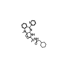 C[C@H](NC(=O)CC1CCCCC1)C(=O)NC1N=C(c2ccccn2)c2ccccc2N(C)C1=O